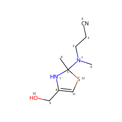 CN(CCC#N)C1(C)NC(CO)=CS1